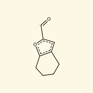 O=[C]c1cc2c(o1)CCCC2